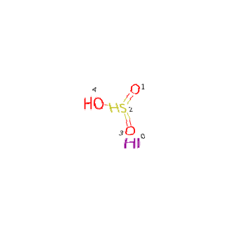 I.O=[SH](=O)O